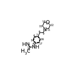 CC(=N)Nc1ccc(CCN2CCOCC2)cc1